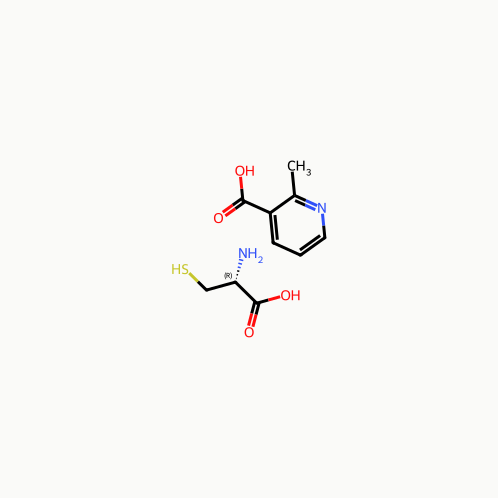 Cc1ncccc1C(=O)O.N[C@@H](CS)C(=O)O